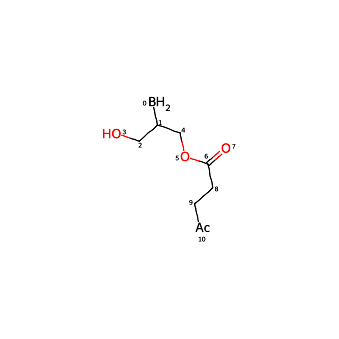 BC(CO)COC(=O)CCC(C)=O